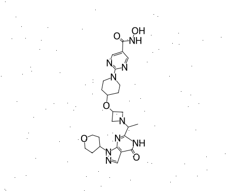 CC(c1nc2c(cnn2C2CCOCC2)c(=O)[nH]1)N1CC(OC2CCN(c3ncc(C(=O)NO)cn3)CC2)C1